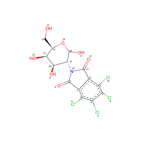 O=C1c2c(Cl)c(Cl)c(Cl)c(Cl)c2C(=O)N1[C@H]1C(O)O[C@H](CO)[C@H](O)[C@@H]1O